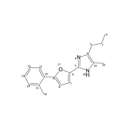 CCCc1nc(-c2ccc(-c3ccccc3C)o2)[nH]c1C